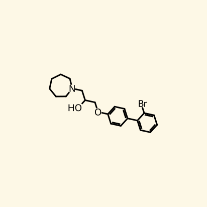 OC(COc1ccc(-c2ccccc2Br)cc1)CN1CCCCCC1